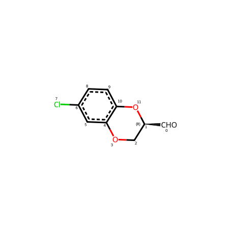 O=C[C@H]1COc2cc(Cl)ccc2O1